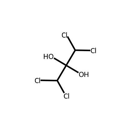 OC(O)(C(Cl)Cl)C(Cl)Cl